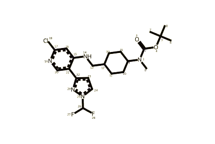 CN(C(=O)OC(C)(C)C)C1CCC(CNc2cc(Cl)ncc2-c2ccn(C(F)F)n2)CC1